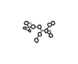 c1ccc(-c2ccc(N(c3cccc(-c4ccc5c(c4)Oc4ccccc4C54c5ccccc5-c5ccccc54)c3)c3cc(-c4ccc5ccccc5c4)c4sc5ccccc5c4c3)cc2)cc1